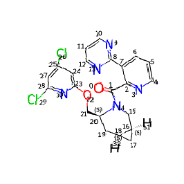 O=C(c1ncccc1-c1ncccn1)N1C[C@H]2C[C@H]2C[C@H]1COc1cc(Cl)cc(Cl)n1